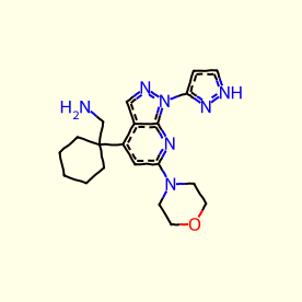 NCC1(c2cc(N3CCOCC3)nc3c2cnn3-c2cc[nH]n2)CCCCC1